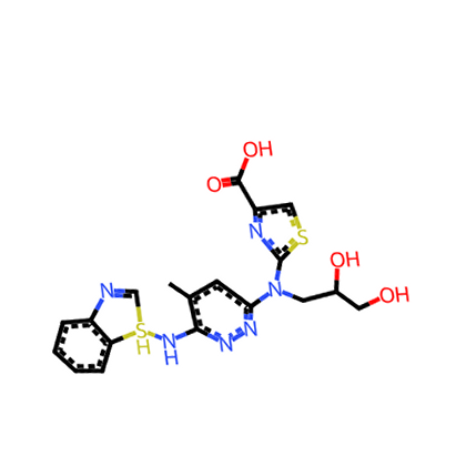 Cc1cc(N(CC(O)CO)c2nc(C(=O)O)cs2)nnc1N[SH]1C=Nc2ccccc21